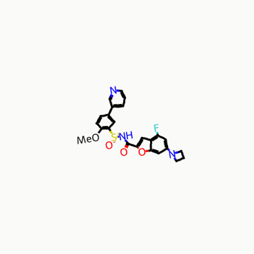 COc1ccc(-c2cccnc2)cc1[S+]([O-])NC(=O)c1cc2c(F)cc(N3CCC3)cc2o1